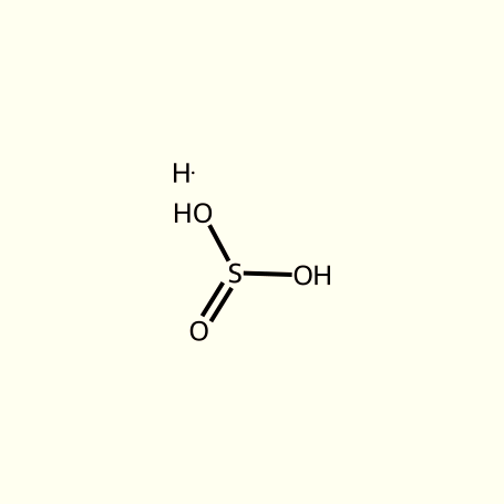 O=S(O)O.[H]